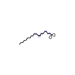 CCCCCCCCC\C=C/C=C\C=C\C=C/C=C/C(=O)OC